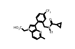 CCN(Cc1cc(C(F)(F)F)ccc1-c1cn(CC(=O)O)c2ccc(C)nc12)C(=O)C1CC1